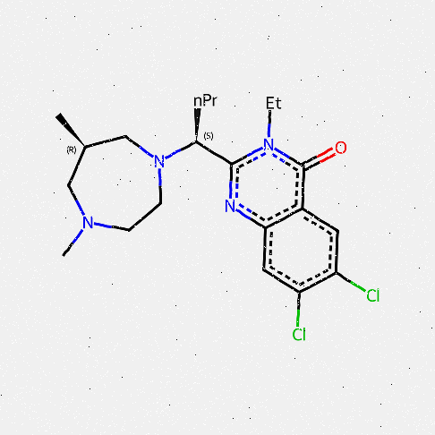 CCC[C@@H](c1nc2cc(Cl)c(Cl)cc2c(=O)n1CC)N1CCN(C)C[C@@H](C)C1